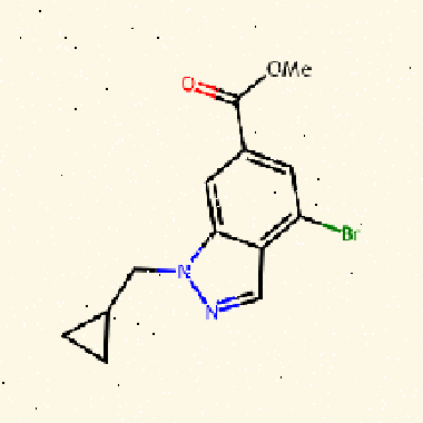 COC(=O)c1cc(Br)c2cnn(CC3CC3)c2c1